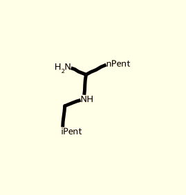 CCCCCC(N)NCC(C)CCC